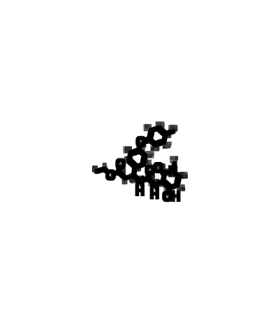 CCOC(=O)C[C@H](NC(=O)Nc1c(O)ccn(C)c1=O)c1ccc(Oc2ccc(C)cc2)cc1